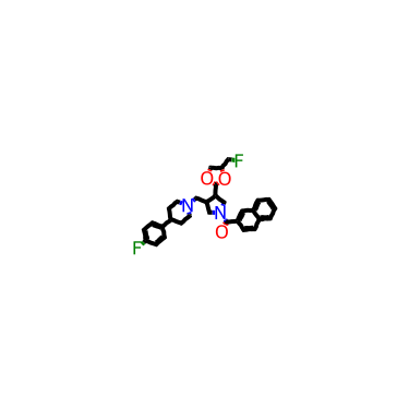 O=C(c1ccc2ccccc2c1)N1CC(CN2CCC(c3ccc(F)cc3)CC2)C(C2OCC(CF)O2)C1